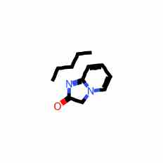 CCCCC.O=C1CN2C=CC=CC2=N1